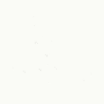 CNc1cc(NC(=O)c2cccc(C)c2)nc(NC(=O)c2cccc(C)c2)n1